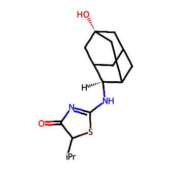 CC(C)C1SC(N[C@H]2C3CC4CC2C[C@](O)(C4)C3)=NC1=O